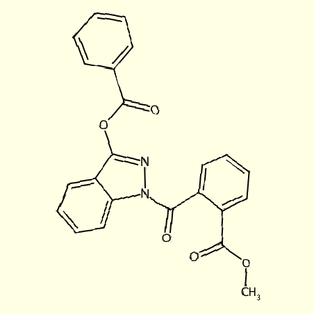 COC(=O)c1ccccc1C(=O)n1nc(OC(=O)c2ccccc2)c2ccccc21